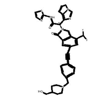 O=C(Nc1nccs1)[C@@H](c1ncn2c1CCC2)N1Cc2c(cc(C#Cc3ccc(CN4CCC(CO)CC4)cc3)cc2C(F)F)C1=O